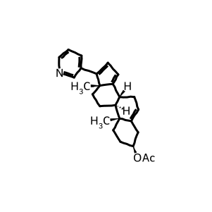 CC(=O)O[C@H]1CC[C@@]2(C)C(=CC[C@H]3C4=CC=C(c5cccnc5)[C@@]4(C)CC[C@@H]32)C1